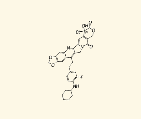 CC[C@@]1(O)C(=O)OCc2c1cc1n(c2=O)Cc2c-1nc1cc3c(cc1c2CCc1ccc(NC2CCCCC2)c(F)c1)OCO3